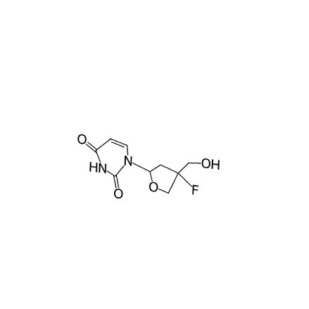 O=c1ccn(C2CC(F)(CO)CO2)c(=O)[nH]1